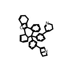 C1=CC2c3oc4c(c3-c3ccccc3C(c3cccc(C5=CCCN=C5)c3)(c3cccc(C5=CN6CCC56)c3)C2C=C1)CCC=C4